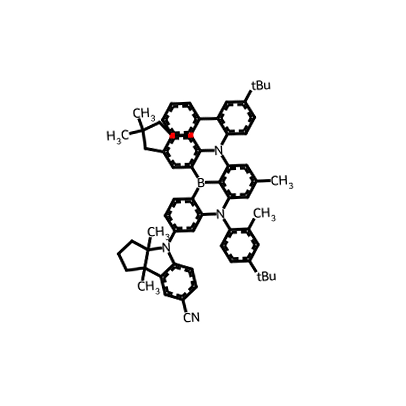 Cc1cc2c3c(c1)N(c1ccc(C(C)(C)C)cc1-c1ccccc1)c1cc4c(cc1B3c1ccc(N3c5ccc(C#N)cc5C5(C)CCCC35C)cc1N2c1ccc(C(C)(C)C)cc1C)CC(C)(C)C4